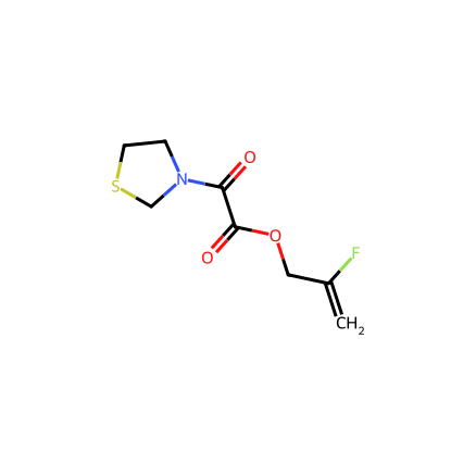 C=C(F)COC(=O)C(=O)N1CCSC1